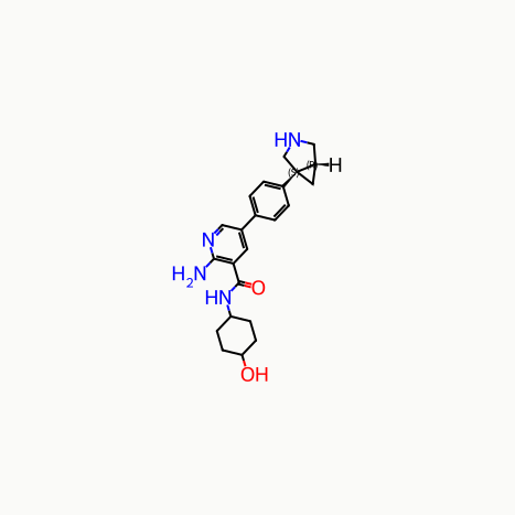 Nc1ncc(-c2ccc([C@@]34CNC[C@@H]3C4)cc2)cc1C(=O)NC1CCC(O)CC1